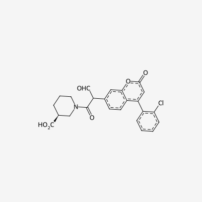 O=CC(C(=O)N1CCC[C@H](C(=O)O)C1)c1ccc2c(-c3ccccc3Cl)cc(=O)oc2c1